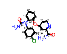 NC(=O)c1cc(Oc2ccccc2N(C(N)=O)c2ccc(Cl)c(C(F)(F)F)c2)ccn1